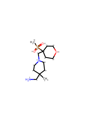 CC1(CN)CCN(CC2(S(C)(=O)=O)CCOCC2)CC1